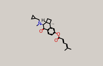 CC(C)=C/C=C/C(=O)Oc1ccc2c(c1)[C@]1(C)CC[C@H]1[C@H](N(C)CC1CC1)C2=O